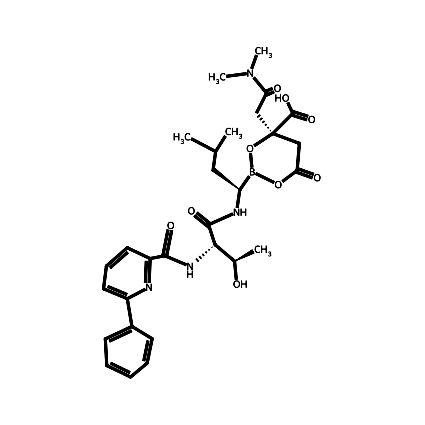 CC(C)C[C@H](NC(=O)[C@@H](NC(=O)c1cccc(-c2ccccc2)n1)[C@@H](C)O)B1OC(=O)C[C@](CC(=O)N(C)C)(C(=O)O)O1